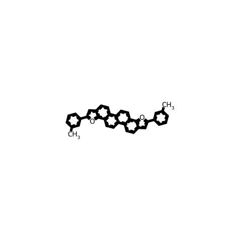 Cc1cccc(-c2cc3ccc4c5ccc6c(ccc7cc(-c8cccc(C)c8)oc76)c5ccc4c3o2)c1